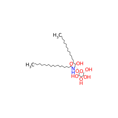 CCCCCCCCCCCCCCCCCC(=O)N[C@@H](CO[C@@H]1O[C@H](CO)[C@@H](O)C(O)C1O)[C@H](O)CCCCCCCCCCCCCCC